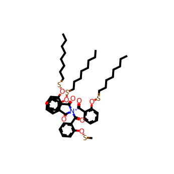 CCCCCCCCSOc1ccccc1C(=O)[N+](C(=O)c1ccccc1OSC)(C(=O)c1ccccc1OSCCCCCCCC)C(=O)c1ccccc1OSCCCCCCCC